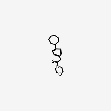 S=C(Cc1ccc(C2CCCCCC2)cc1)N1CCOCC1